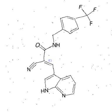 N#C/C(=C\c1c[nH]c2ncccc12)C(=O)NCc1ccc(C(F)(F)F)cc1